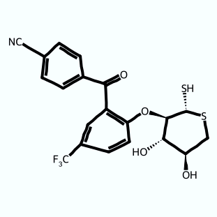 N#Cc1ccc(C(=O)c2cc(C(F)(F)F)ccc2O[C@@H]2[C@@H](O)[C@H](O)CS[C@H]2S)cc1